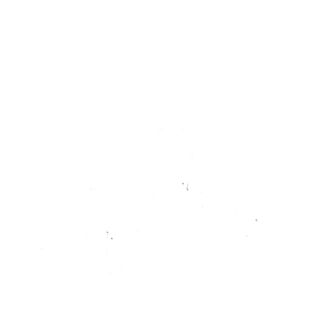 c1ccc(-c2cc(-c3ccccc3)cc(N(c3ccccc3)c3ccc(-c4ccc(N(c5ccc(-c6cccc7ccccc67)cc5)c5ccc(-c6cccc7ccccc67)cc5)cc4)cc3)c2)cc1